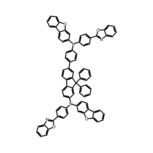 c1ccc(C2(c3ccccc3)c3cc(-c4ccc(N(c5ccc(-c6nc7ccccc7o6)cc5)c5ccc6c(c5)oc5ccccc56)cc4)ccc3-c3ccc(N(c4ccc(-c5nc6ccccc6o5)cc4)c4ccc5c(c4)oc4ccccc45)cc32)cc1